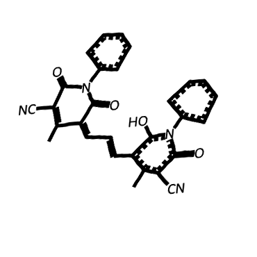 CC1=C(C#N)C(=O)N(c2ccccc2)C(=O)/C1=C\C=C\c1c(C)c(C#N)c(=O)n(-c2ccccc2)c1O